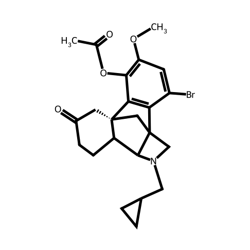 COc1cc(Br)c2c(c1OC(C)=O)[C@]13CC(=O)CCC1C1N(CC4CC4)CC21C3